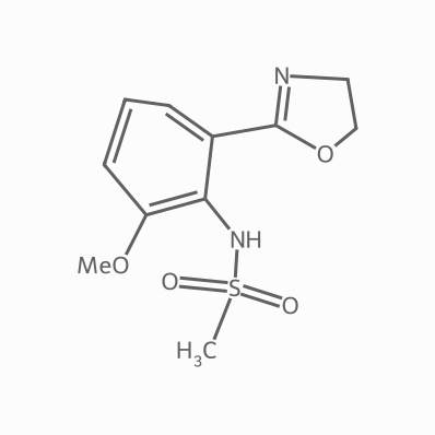 COc1cccc(C2=NCCO2)c1NS(C)(=O)=O